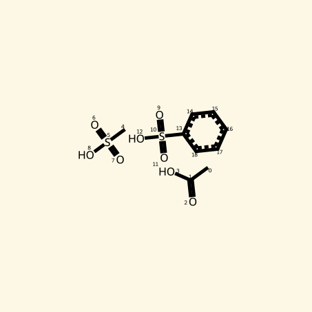 CC(=O)O.CS(=O)(=O)O.O=S(=O)(O)c1ccccc1